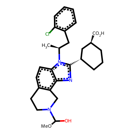 COC(O)N1CCc2ccc3c(nc([C@H]4CCC[C@H](C(=O)O)C4)n3[C@@H](C)Cc3ccccc3Cl)c2C1